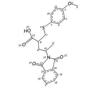 COc1ccc(SCC(CC(C)N2C(=O)c3ccccc3C2=O)C(=O)O)cc1